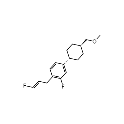 COC[C@H]1CC[C@H](c2ccc(C/C=C/F)c(F)c2)CC1